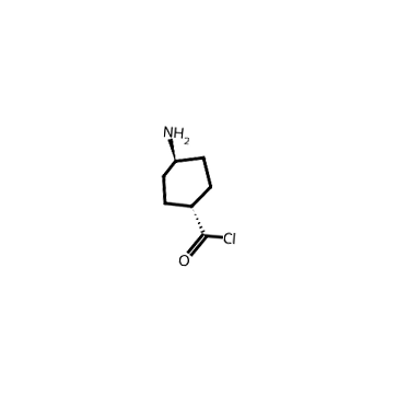 N[C@H]1CC[C@H](C(=O)Cl)CC1